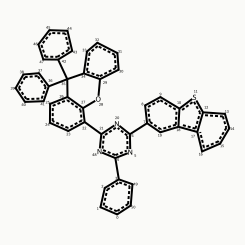 c1ccc(-c2nc(-c3ccc4sc5ccccc5c4c3)nc(-c3cccc4c3Oc3ccccc3C4(c3ccccc3)c3ccccc3)n2)cc1